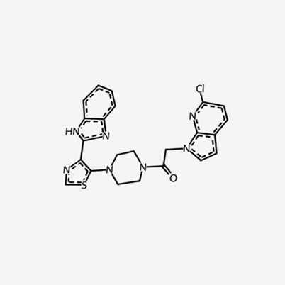 O=C(Cn1ccc2ccc(Cl)nc21)N1CCN(c2scnc2-c2nc3ccccc3[nH]2)CC1